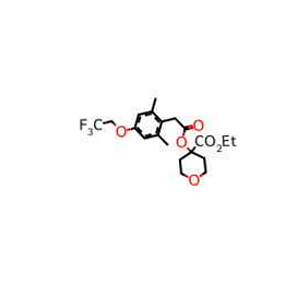 CCOC(=O)C1(OC(=O)Cc2c(C)cc(OCC(F)(F)F)cc2C)CCOCC1